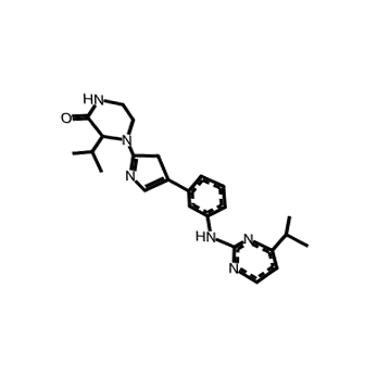 CC(C)c1ccnc(Nc2cccc(C3=CN=C(N4CCNC(=O)C4C(C)C)C3)c2)n1